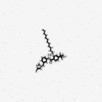 Br.CCCCCCCCCCCCOc1cc(C(C)(C)C)ccc1C(=O)Nc1cccc(CN2C=C(C)SC2)c1